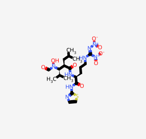 CC(C)C[C@@H](C(=O)N[C@@H](CCCN/C(=N/[N+](=O)[O-])[N+](=O)[O-])C(=O)Nc1nccs1)[C@H](C(C)C)N(O)C=O